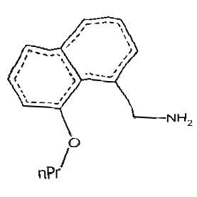 CCCOc1cccc2cccc(CN)c12